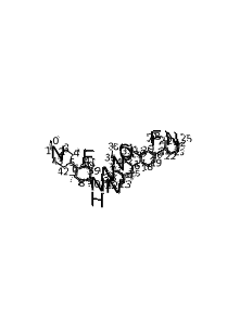 CCN1CCC(c2ccc(Nc3ncc4cc(-c5ccc(-c6ccc(C)nc6F)cc5Cl)c(=O)n(CC)c4n3)cc2F)CC1